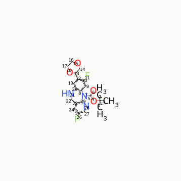 CC(C)(C)OC(=O)N1c2cc(F)c(C3COCCO3)cc2NCc2cc(F)cnc21